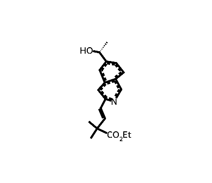 CCOC(=O)C(C)(C)/C=C/c1cc2cc([C@@H](C)O)ccc2cn1